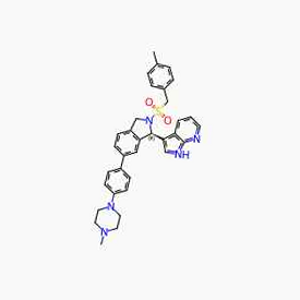 Cc1ccc(CS(=O)(=O)N2Cc3ccc(-c4ccc(N5CCN(C)CC5)cc4)cc3[C@@H]2c2c[nH]c3ncccc23)cc1